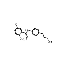 O=C(O)c1ccc(F)cc1C(=O)Nc1ccc(CCCO)cc1